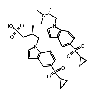 C[C@@H](Cn1ccc2cc(S(=O)(=O)C3CC3)ccc21)CS(=O)(=O)O.C[C@H](Cn1ccc2cc(S(=O)(=O)C3CC3)ccc21)N(C)C